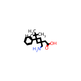 CC(C)(C)C1(c2ccccc2)CC(CN)(CC(=O)O)C1